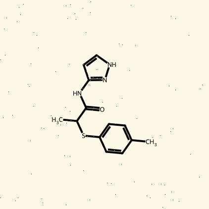 Cc1ccc(SC(C)C(=O)Nc2cc[nH]n2)cc1